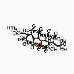 BOP(=O)(O)CC(C(C(C(C(C(C(C(CP(=O)(O)O)P(=O)(O)O)P(=O)(O)O)P(=O)(O)O)P(=O)(O)O)P(=O)(O)O)P(=O)(O)O)P(=O)(O)O)P(=O)(O)O